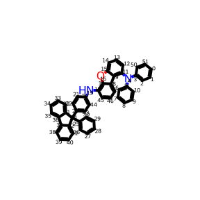 c1ccc(N(c2ccccc2)c2cccc3oc4c(Nc5ccc(C6(c7ccccc7)c7ccccc7-c7ccccc76)cc5)cccc4c23)cc1